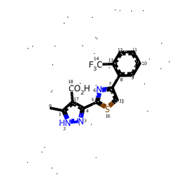 Cc1[nH]nc(-c2nc(-c3ccccc3C(F)(F)F)cs2)c1C(=O)O